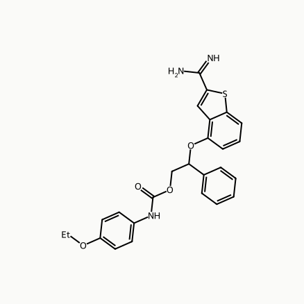 CCOc1ccc(NC(=O)OCC(Oc2cccc3sc(C(=N)N)cc23)c2ccccc2)cc1